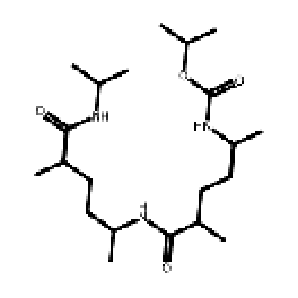 CC(C)NC(=O)C(C)CCC(C)NC(=O)C(C)CCC(C)NC(=O)OC(C)C